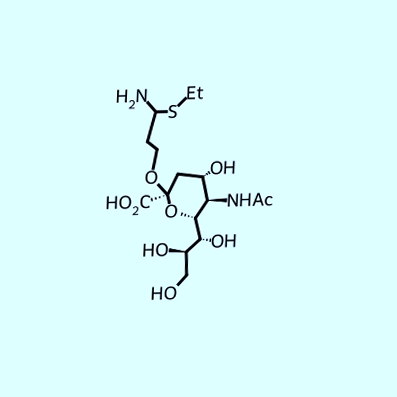 CCSC(N)CCO[C@@]1(C(=O)O)C[C@H](O)[C@@H](NC(C)=O)[C@H]([C@H](O)[C@H](O)CO)O1